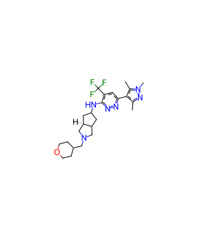 Cc1nn(C)c(C)c1-c1cc(C(F)(F)F)c(NC2CC3CN(CC4CCOCC4)C[C@H]3C2)nn1